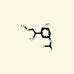 Cl.NC(COC(F)(F)F)c1cccc(OC(F)F)c1